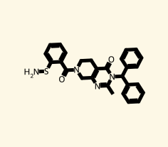 Cc1nc2c(c(=O)n1C(c1ccccc1)c1ccccc1)CCN(C(=O)c1ccccc1SN)C2